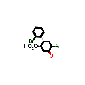 O=C1C[C@@H](C(=O)O)[C@H](c2ccccc2Br)C[C@H]1Br